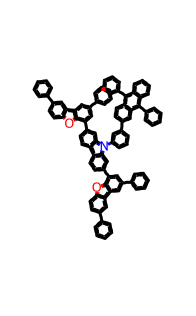 c1ccc(-c2ccc3oc4c(-c5ccc6c7ccc(-c8cc(-c9ccccc9)cc9c8oc8ccc(-c%10ccccc%10)cc89)cc7n(-c7cccc(-c8ccc9c(-c%10ccccc%10)c%10ccccc%10c(-c%10ccccc%10)c9c8)c7)c6c5)cc(-c5ccccc5)cc4c3c2)cc1